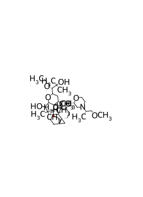 CCO[C@@H](C1C[C@@H](C)[C@H]2C(O1)[C@H](O)C(C)(C)[C@]2(C)CCC12CCC[C@H]3C(C)(C)[C@@H](O[C@H]4CN([C@@H](C)COC)CCO4)CC[C@@]31C2)C(C)(C)O